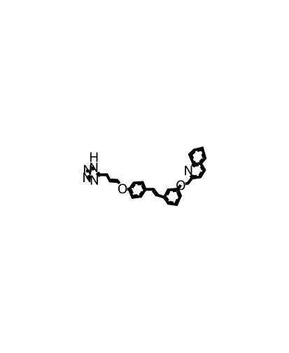 C(=COc1ccc(C=Cc2cccc(OCc3ccc4ccccc4n3)c2)cc1)Cc1nnn[nH]1